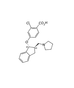 O=C(O)c1ccc(O[C@H]2c3ccccc3C[C@@H]2CN2CCCC2)cc1Cl